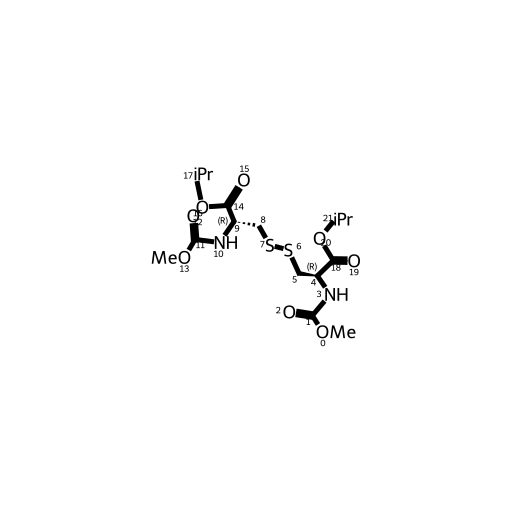 COC(=O)N[C@@H](CSSC[C@H](NC(=O)OC)C(=O)OC(C)C)C(=O)OC(C)C